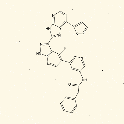 O=C(Cc1ccccc1)Nc1cncc(-c2cnc3[nH]nc(-c4nc5c(-c6cccs6)ccnc5[nH]4)c3c2F)c1